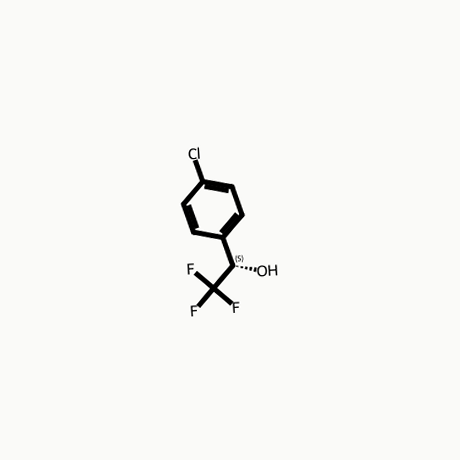 O[C@@H](c1ccc(Cl)cc1)C(F)(F)F